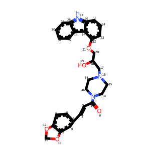 O=C(/C=C/c1ccc2c(c1)OCO2)N1CCN(CC(O)COc2cccc3[nH]c4ccccc4c23)CC1